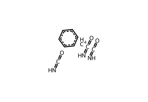 C.N=C=O.N=C=O.N=C=O.c1ccccc1